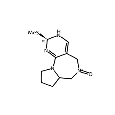 CS[C@@H]1N=C2C(=CN1)C[N+](=O)CC1CCCN21